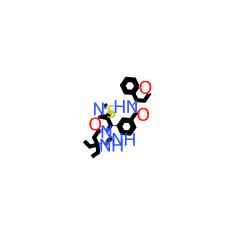 CCC1(CC)CC(=O)N([C@@H](c2cccc(C(=O)N[C@H]3CCOc4ccccc43)c2)c2cncs2)C(=N)N1